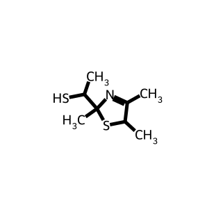 CC1=NC(C)(C(C)S)SC1C